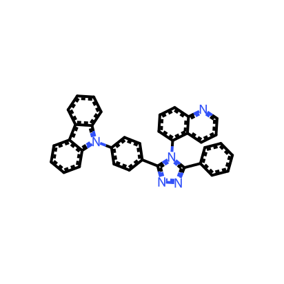 c1ccc(-c2nnc(-c3ccc(-n4c5ccccc5c5ccccc54)cc3)n2-c2cccc3ncccc23)cc1